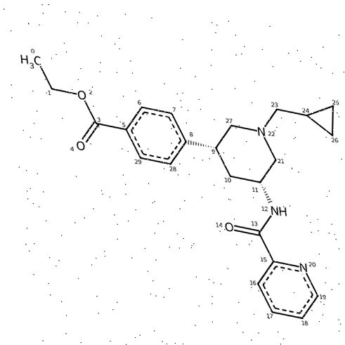 CCOC(=O)c1ccc([C@H]2C[C@@H](NC(=O)c3ccccn3)CN(CC3CC3)C2)cc1